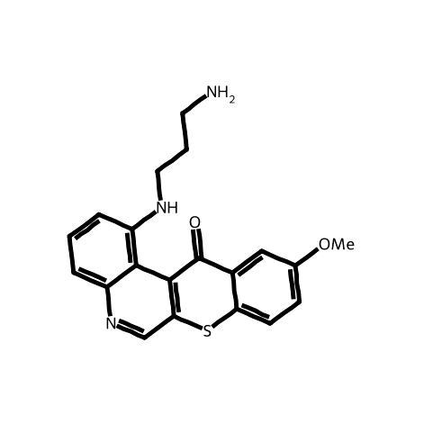 COc1ccc2sc3cnc4cccc(NCCCN)c4c3c(=O)c2c1